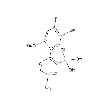 COc1cc(F)c(C(C)C)cc1-c1ccc(C(F)(F)F)cc1C(O)(O)O